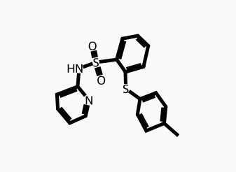 Cc1ccc(Sc2ccccc2S(=O)(=O)Nc2ccccn2)cc1